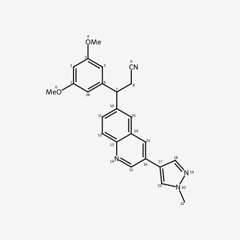 COc1cc(OC)cc(C(CC#N)c2ccc3ncc(-c4cnn(C)c4)cc3c2)c1